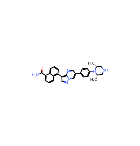 C[C@@H]1CNC[C@H](C)N1c1ccc(-c2cnc3c(-c4cccc5c(C(N)=O)cccc45)cnn3c2)cc1